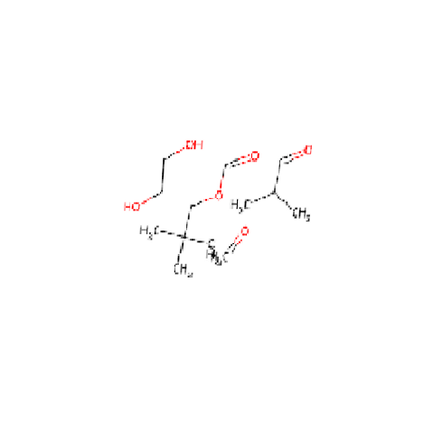 C=O.CC(C)(C)COC=O.CC(C)C=O.OCCO